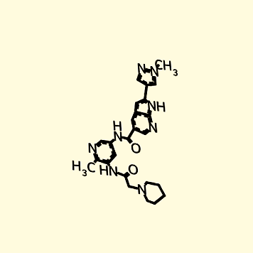 Cc1ncc(NC(=O)c2cnc3[nH]c(-c4cnn(C)c4)cc3c2)cc1NC(=O)CN1CCCCC1